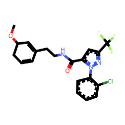 COC1C=C(CCNC(=O)c2cc(C(F)(F)F)nn2-c2ccccc2Cl)C=CC1